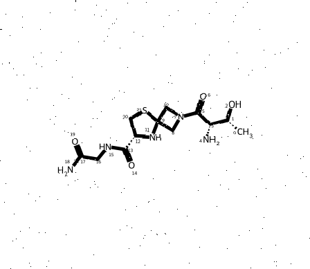 C[C@@H](O)[C@H](N)C(=O)N1CC2(C1)N[C@H](C(=O)NCC(N)=O)CS2